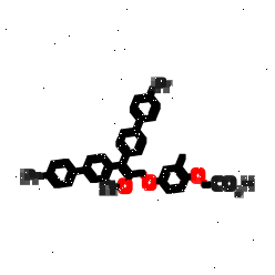 CCOC(COc1ccc(OCC(=O)O)c(C)c1)=C(c1ccc(-c2ccc(C(C)C)cc2)cc1)c1ccc(-c2ccc(C(C)C)cc2)cc1